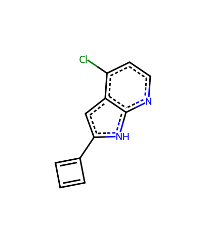 Clc1ccnc2[nH]c(C3=CC=C3)cc12